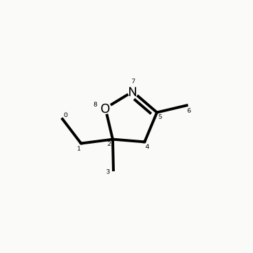 CCC1(C)CC(C)=NO1